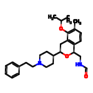 Cc1ccc2c(c1OC(C)C)CC(C1CCN(CCc3ccccc3)CC1)OC2CNC=O